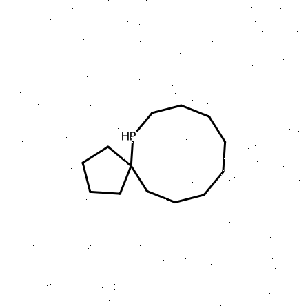 C1CCCCC2(CCCC2)PCCC1